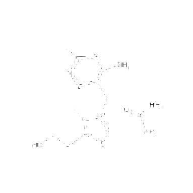 Cc1ncc(C[n+]2csc(CCO)c2C)c(N)n1.NC(N)=O